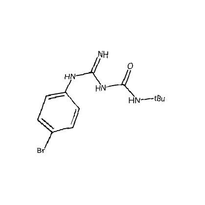 CC(C)(C)NC(=O)NC(=N)Nc1ccc(Br)cc1